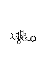 CCC(C)CNC(=O)[C@@H](N)CSCc1ccccc1